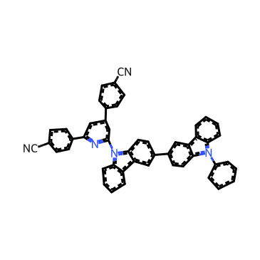 N#Cc1ccc(-c2cc(-c3ccc(C#N)cc3)nc(-n3c4ccccc4c4cc(-c5ccc6c(c5)c5ccccc5n6-c5ccccc5)ccc43)c2)cc1